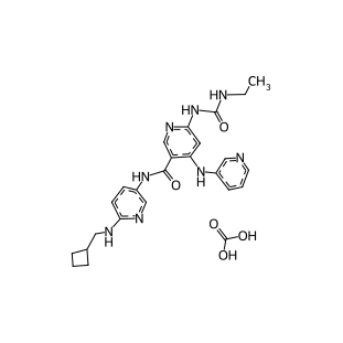 CCNC(=O)Nc1cc(Nc2cccnc2)c(C(=O)Nc2ccc(NCC3CCC3)nc2)cn1.O=C(O)O